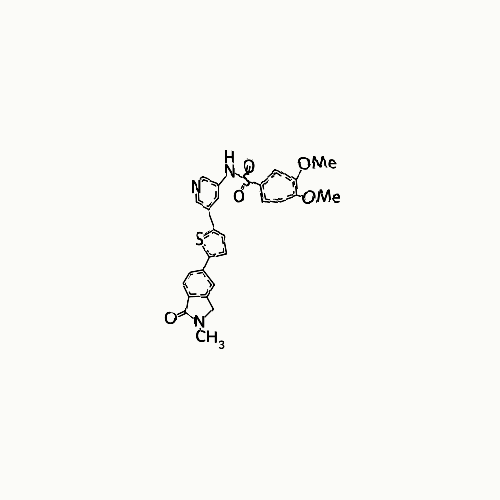 COc1ccc(S(=O)(=O)Nc2cncc(-c3ccc(-c4ccc5c(c4)CN(C)C5=O)s3)c2)cc1OC